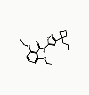 CCCC1(c2cc(NC(=S)c3c(OCC)cccc3OCC)on2)CCC1